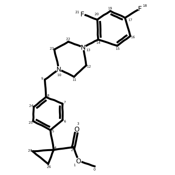 COC(=O)C1(c2ccc(CN3CCN(c4ccc(F)cc4F)CC3)cc2)CC1